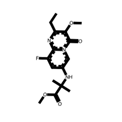 CCc1nc2c(F)cc(NC(C)(C)C(=O)OC)cn2c(=O)c1OC